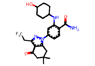 CC1(C)CC(=O)c2c(CC(F)(F)F)nn(-c3ccc(C(N)=O)c(NC4CCC(O)CC4)c3)c2C1